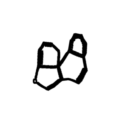 C1=CCC23C(=COC2=C1)C=Cc1ccccc13